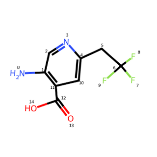 Nc1cnc(CC(F)(F)F)cc1C(=O)O